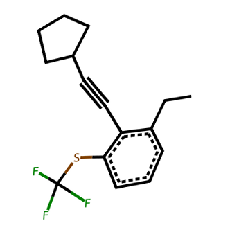 CCc1cccc(SC(F)(F)F)c1C#CC1CCCC1